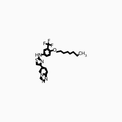 CCCCCCCCOc1ccc(Nc2nc(-c3ccc4nncn4c3)cs2)cc1C(F)(F)F